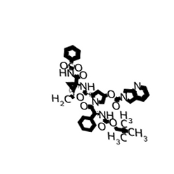 C=C[C@@H]1C[C@]1(NC(=O)[C@@H]1CC(OC(=O)N2Cc3cccnc3C2)CN1C(=O)[C@@H](NC(=O)OCC(C)(C)C)C1CCCCC1)C(=O)NS(=O)(=O)c1ccccc1